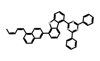 C/C=C\C=C/c1cccc2cc(-c3cccc4c3oc3cccc(-c5nc(-c6ccccc6)nc(-c6ccccc6)n5)c34)ccc12